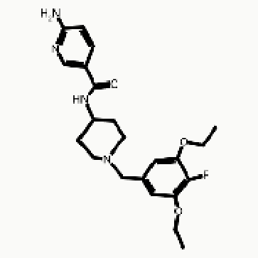 CCOc1cc(CN2CCC(NC(=O)c3ccc(N)nc3)CC2)cc(OCC)c1F